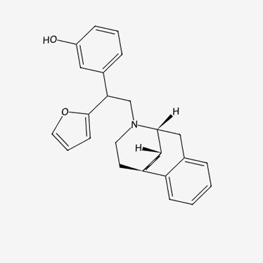 Oc1cccc(C(CN2CC[C@]34CCCC[C@H]3[C@H]2Cc2ccccc24)c2ccco2)c1